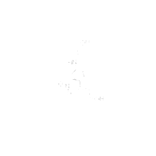 O=[N+]([O-])c1cc(NCCO)ccc1OCCO